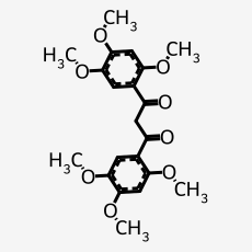 COc1cc(OC)c(C(=O)CC(=O)c2cc(OC)c(OC)cc2OC)cc1OC